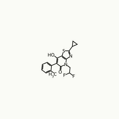 Cc1ccccc1-c1c(O)c2sc(C3CC3)nc2n(CC(F)F)c1=O